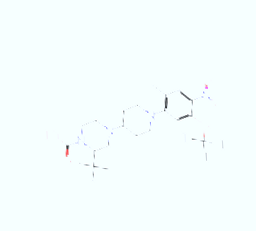 [2H]C([2H])([2H])Oc1cc(N2CCC(N3CCN(C(=O)O)C(C(C)(C)C)C3)CC2)c(C)cc1[N+](=O)[O-]